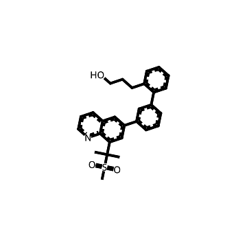 CC(C)(c1cc(-c2cccc(-c3ccccc3CCCO)c2)cc2cccnc12)S(C)(=O)=O